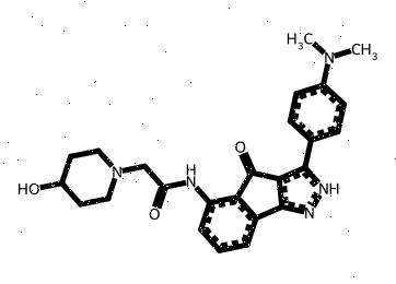 CN(C)c1ccc(-c2[nH]nc3c2C(=O)c2c(NC(=O)CN4CCC(O)CC4)cccc2-3)cc1